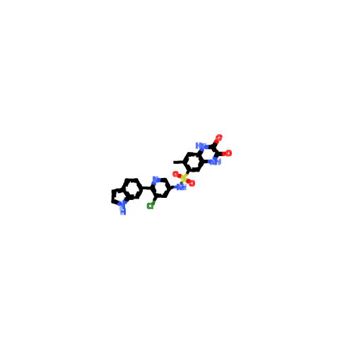 Cc1cc2[nH]c(=O)c(=O)[nH]c2cc1S(=O)(=O)Nc1cnc(-c2ccc3cc[nH]c3c2)c(Cl)c1